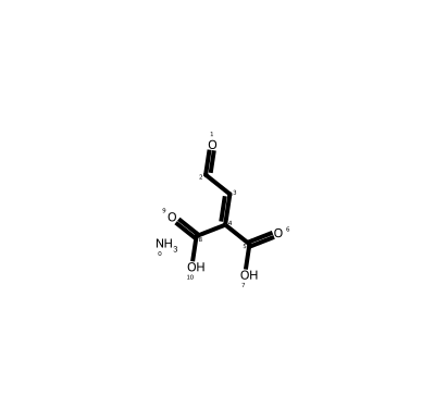 N.O=CC=C(C(=O)O)C(=O)O